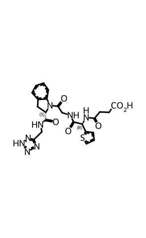 O=C(O)CCC(=O)N[C@H](C(=O)NCC(=O)N1c2ccccc2C[C@H]1C(=O)NCc1nn[nH]n1)c1cccs1